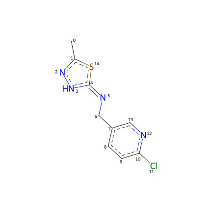 Cc1n[nH]/c(=N\Cc2ccc(Cl)nc2)s1